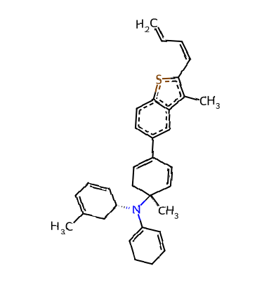 C=C/C=C\c1sc2ccc(C3=CCC(C)(N(C4=CCCC=C4)[C@H]4C=CC=C(C)C4)C=C3)cc2c1C